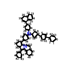 c1ccc(-c2ccc(-c3ccc(N(c4ccc(-c5cccc6ccccc56)cc4)c4ccc(-c5cccc6c(-c7ccccc7)c7c8ccccc8ccn7c56)cc4)cc3)cc2)cc1